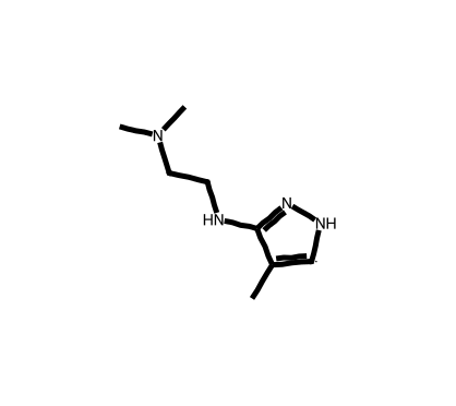 Cc1[c][nH]nc1NCCN(C)C